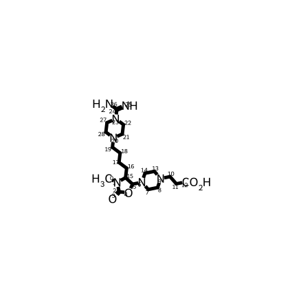 CN1C(=O)OC(N2CCN(CCC(=O)O)CC2)C1CCCCN1CCN(C(=N)N)CC1